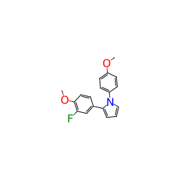 COc1ccc(-n2cccc2-c2ccc(OC)c(F)c2)cc1